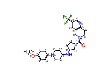 COc1ccc(N2CCC(NC3CCN(C(=O)N4CCc5ncc(C(F)(F)F)cc5C4)C3)CC2)cc1